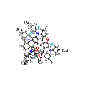 [C-]#[N+]c1ccc2oc3c(c2c1)Oc1cc(C)cc2c1B3c1cc3c(cc1N2c1c(F)cc(C(C)(C)C)cc1F)Oc1cc(C)cc2c1B3c1cc3c(cc1N2c1c(F)cc(C(C)(C)C)cc1F)N(c1c(F)cc(C(C)(C)C)cc1F)c1cc(C)cc2c1B3c1oc3ccc(C#N)cc3c1N2c1ccc(C(C)(C)C)cc1F